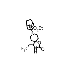 CCOC(=O)N1C2CCC1CC(N1CCC3(CC1)OC(=O)NC3CC(F)(F)F)C2